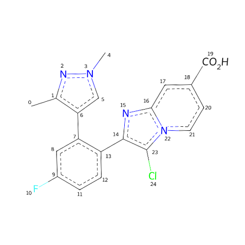 Cc1nn(C)cc1-c1cc(F)ccc1-c1nc2cc(C(=O)O)ccn2c1Cl